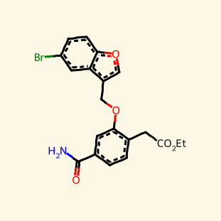 CCOC(=O)Cc1ccc(C(N)=O)cc1OCc1coc2ccc(Br)cc12